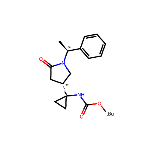 C[C@@H](c1ccccc1)N1C[C@H](C2(NC(=O)OC(C)(C)C)CC2)CC1=O